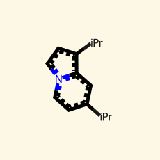 CC(C)c1ccn2ccc(C(C)C)c2c1